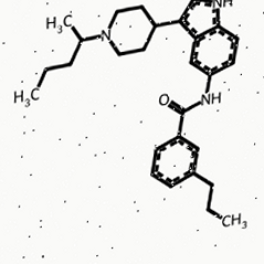 CCCc1cccc(C(=O)Nc2ccc3[nH]cc(C4CCN(C(C)CCC)CC4)c3c2)c1